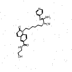 N#CN(CCCCCCn1c(=O)ccc2cc(C(=O)NCCO)ccc21)C(N)=Nc1ccncc1